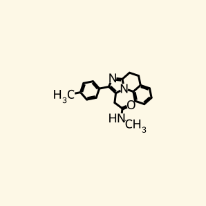 CNC(=O)Cc1c(-c2ccc(C)cc2)nc2n1-c1ccccc1CC2